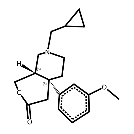 COc1cccc([C@@]23CCN(CC4CC4)C[C@H]2CCC(=O)C3)c1